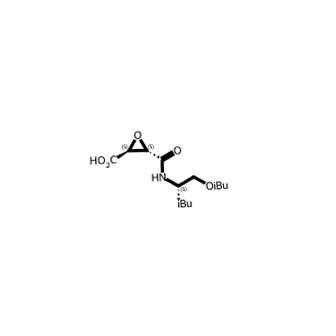 CCC(C)[C@@H](COCC(C)C)NC(=O)[C@H]1O[C@@H]1C(=O)O